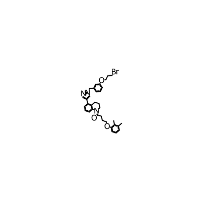 Cc1cccc(OCCCC(=O)N2CCCc3c(-c4cnn(Cc5cccc(OCCCBr)c5)c4)cccc32)c1C